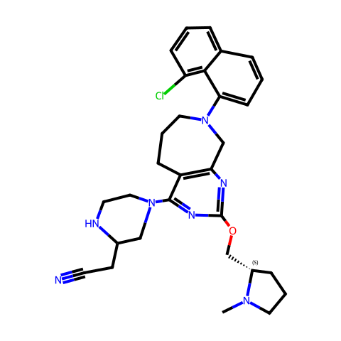 CN1CCC[C@H]1COc1nc2c(c(N3CCNC(CC#N)C3)n1)CCCN(c1cccc3cccc(Cl)c13)C2